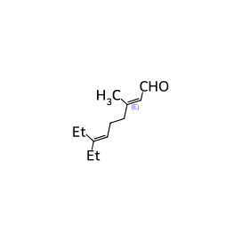 CCC(=CCC/C(C)=C/C=O)CC